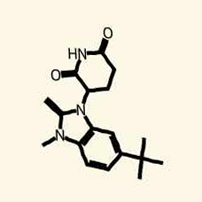 C=C1N(C)c2ccc(C(C)(C)C)cc2N1C1CCC(=O)NC1=O